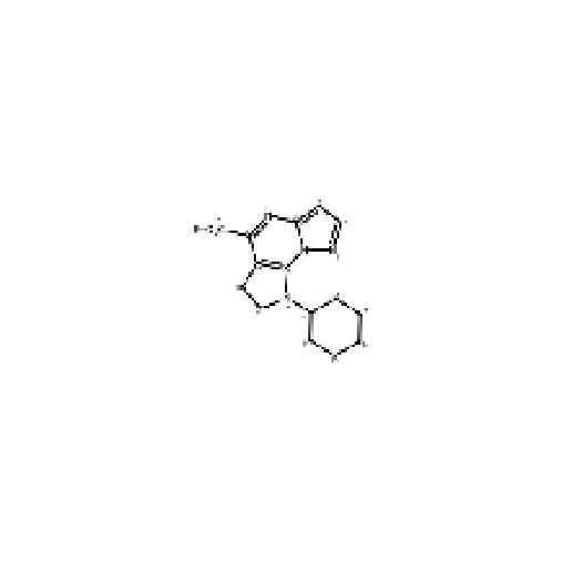 CCOC(=O)c1nc2ccnn2c2c1CCN2C1CCCCC1